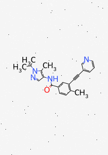 Cc1ccc(C(=O)Nc2cnn(C(C)C)c2C)cc1C#Cc1cccnc1